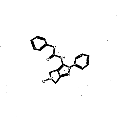 O=C(Nc1c2c(nn1-c1ccccc1)C[S+]([O-])C2)Oc1ccccc1